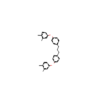 Cc1ccc(Oc2ccc(CCCc3ccc(Oc4ccc(C)c(C)c4)cc3)cc2)cc1C